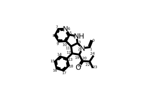 C=CN1C2Nc3ncccc3C2C(c2ccccc2)C1C(=O)C(C)C